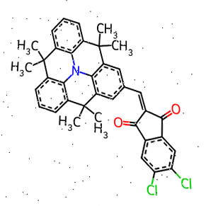 CC1(C)c2cccc3c2N2c4c1cccc4C(C)(C)c1cc(C=C4C(=O)c5cc(Cl)c(Cl)cc5C4=O)cc(c12)C3(C)C